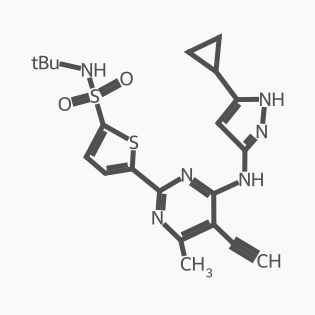 C#Cc1c(C)nc(-c2ccc(S(=O)(=O)NC(C)(C)C)s2)nc1Nc1cc(C2CC2)[nH]n1